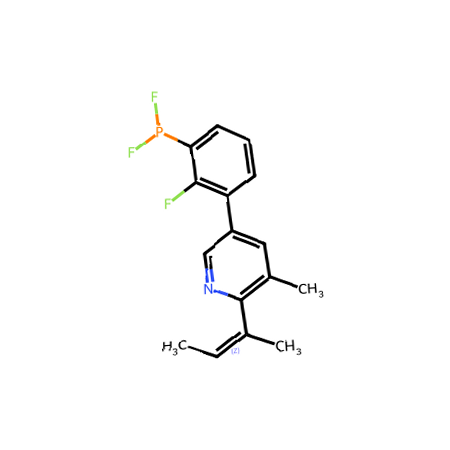 C/C=C(/C)c1ncc(-c2cccc(P(F)F)c2F)cc1C